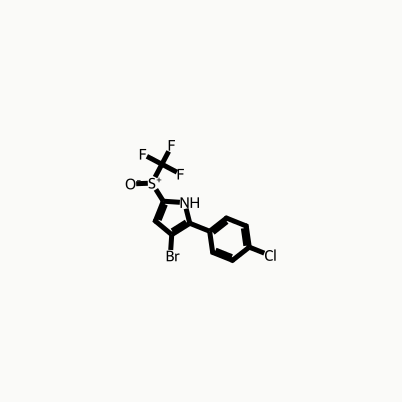 [O-][S+](c1cc(Br)c(-c2ccc(Cl)cc2)[nH]1)C(F)(F)F